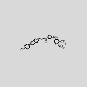 O=C(CCCN1CC2CN(c3ccc(Cl)cc3)CC2C1)N1CCC(Nc2ccc([N+](=O)[O-])c(C(F)(F)F)c2)C1